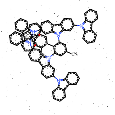 N#Cc1cc(-n2c3cc(-n4c5ccccc5c5ccccc54)ccc3c3ccc(-n4c5ccccc5c5ccccc54)cc32)c(-c2ccc(C(F)(F)F)cc2C(F)(F)F)c(-n2c3cc(-n4c5ccccc5c5ccccc54)ccc3c3ccc(-n4c5ccccc5c5ccccc54)cc32)c1